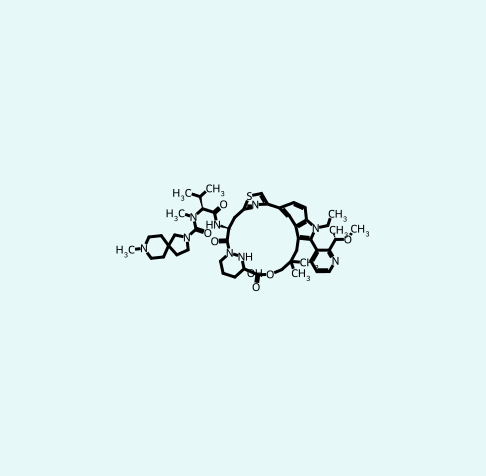 CCn1c(-c2cccnc2[C@H](C)OC)c2c3cc(ccc31)-c1csc(n1)C[C@H](NC(=O)[C@H](C(C)C)N(C)C(=O)N1CCC3(CCN(C)CC3)C1)C(=O)N1CCC[C@@](O)(N1)C(=O)OCC(C)(C)C2